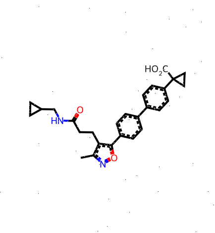 Cc1noc(-c2ccc(-c3ccc(C4(C(=O)O)CC4)cc3)cc2)c1CCC(=O)NCC1CC1